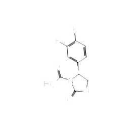 O=C(O)N1C(=O)OC[C@@H]1c1ccc(F)c(F)c1